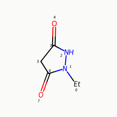 CCN1NC(=O)CC1=O